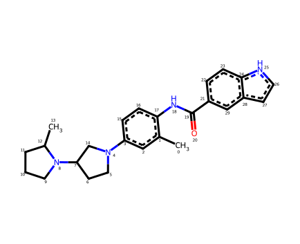 Cc1cc(N2CCC(N3CCCC3C)C2)ccc1NC(=O)c1ccc2[nH]ccc2c1